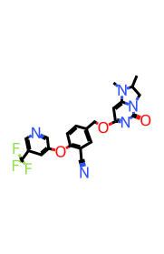 CC1Cn2c(cc(OCc3ccc(Oc4cncc(C(F)(F)F)c4)c(C#N)c3)nc2=O)N1C